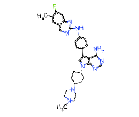 Cc1cc2cnc(Nc3ccc(-c4cn([C@H]5CC[C@@H](N6CCN(C)CC6)CC5)c5ncnc(N)c45)cc3)nc2cc1F